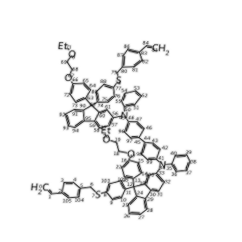 C=Cc1ccc(CSc2ccc(C3(c4ccc(OCCOCC)cc4)c4ccccc4-c4ccc(N(c5ccccc5)c5ccc(-c6ccc(N(c7ccccc7)c7ccc8c(c7)C(c7ccc(OCCOCC)cc7)(c7ccc(SCc9ccc(C=C)cc9)cc7)c7ccccc7-8)cc6)cc5)cc43)cc2)cc1